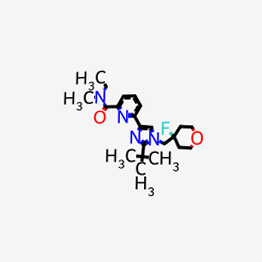 CCN(C)C(=O)c1cccc(-c2cn(CC3(F)CCOCC3)c(C(C)(C)C)n2)n1